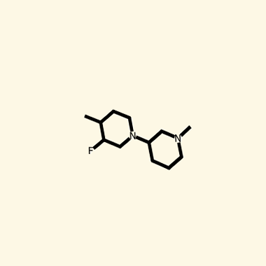 CC1CCN(C2CCCN(C)C2)CC1F